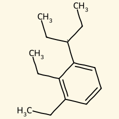 CC[C](CC)c1cccc(CC)c1CC